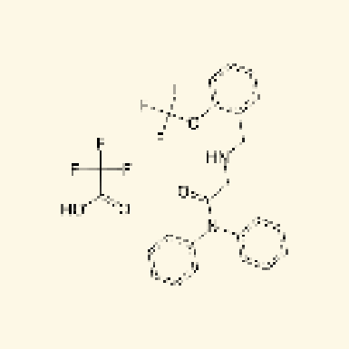 O=C(CNCc1ccccc1OC(F)(F)F)N(c1ccccc1)c1ccccc1.O=C(O)C(F)(F)F